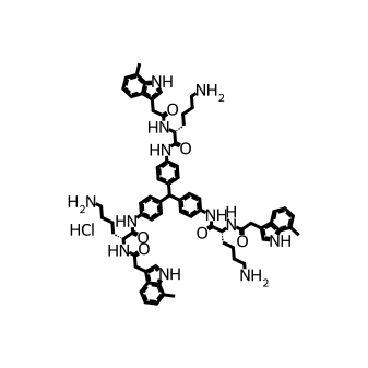 Cc1cccc2c(CC(=O)N[C@H](CCCCN)C(=O)Nc3ccc(C(c4ccc(NC(=O)[C@@H](CCCCN)NC(=O)Cc5c[nH]c6c(C)cccc56)cc4)c4ccc(NC(=O)[C@@H](CCCCN)NC(=O)Cc5c[nH]c6c(C)cccc56)cc4)cc3)c[nH]c12.Cl